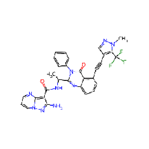 C[C@H](NC(=O)c1c(N)nn2cccnc12)c1nc2cccc(C#Cc3cnn(C)c3C(F)(F)F)c2c(=O)n1-c1ccccc1